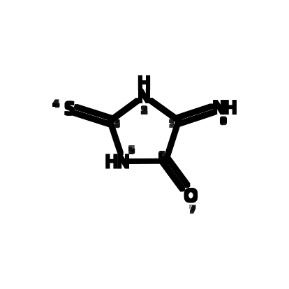 N=C1NC(=S)NC1=O